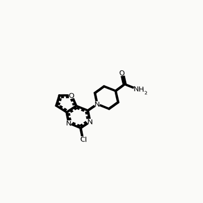 NC(=O)C1CCN(c2nc(Cl)nc3ccoc23)CC1